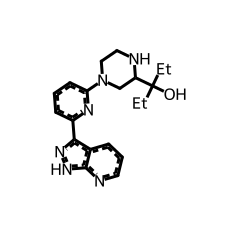 CCC(O)(CC)C1CN(c2cccc(-c3n[nH]c4ncccc34)n2)CCN1